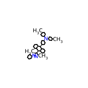 Cc1ccc(N(c2ccc(C)cc2)c2ccc(-c3c4ccccc4c(-c4c(C)nn(-c5ccccc5)c4C)c4ccccc34)cc2)cc1